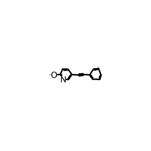 [O]c1ccc(C#Cc2ccccc2)cn1